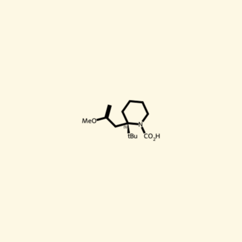 C=C(C[C@]1(C(C)(C)C)CCCCN1C(=O)O)OC